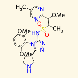 COc1cccc(OC)c1-n1c(NS(=O)(=O)C(C)C(OC)c2ncc(C)cn2)nnc1[C@@H]1CCNC1